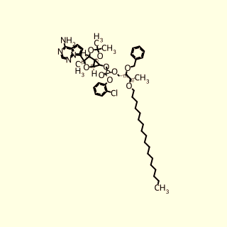 CCCCCCCCCCCCCCCCCCO[C@@H](C)[C@H](COP(=O)(Oc1ccccc1Cl)OC1[C@H]2O[C@@](C)(c3ccc4c(N)ncnn34)[C@@H]3OC(C)(C)O[C@]123)OCc1ccccc1